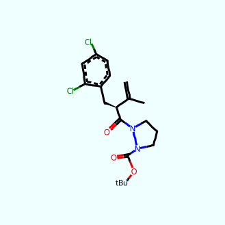 C=C(C)[C@H](Cc1ccc(Cl)cc1Cl)C(=O)N1CCCN1C(=O)OC(C)(C)C